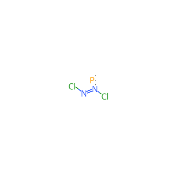 ClN=NCl.[P]